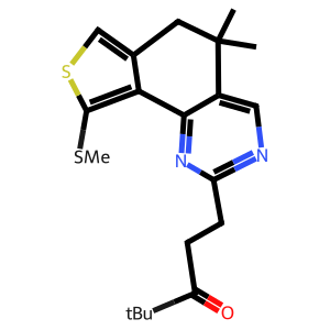 CSc1scc2c1-c1nc(CCC(=O)C(C)(C)C)ncc1C(C)(C)C2